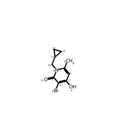 Cc1cc(O)c(Br)c(=O)n1CC1CC1